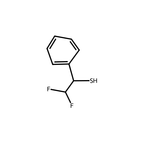 FC(F)C(S)c1ccccc1